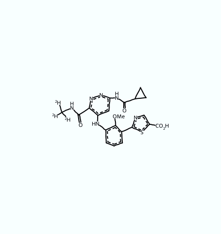 [2H]C([2H])([2H])NC(=O)c1nnc(NC(=O)C2CC2)cc1Nc1cccc(-c2ncc(C(=O)O)s2)c1OC